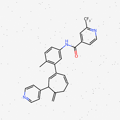 C=C1CC=CC(c2cc(NC(=O)c3ccnc(C(F)(F)F)c3)ccc2C)=CC1c1ccncc1